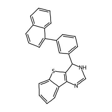 C1=Nc2c(sc3ccccc23)C(c2cccc(-c3cccc4ccccc34)c2)N1